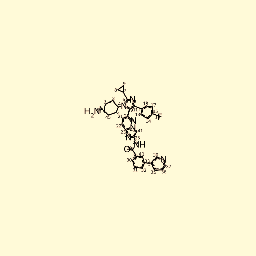 NN1CCC(n2c(C3CC3)nc(-c3ccc(F)cc3)c2-c2ccc3nc(NC(=O)c4cccc(-c5cccnc5)c4)cn3n2)CC1